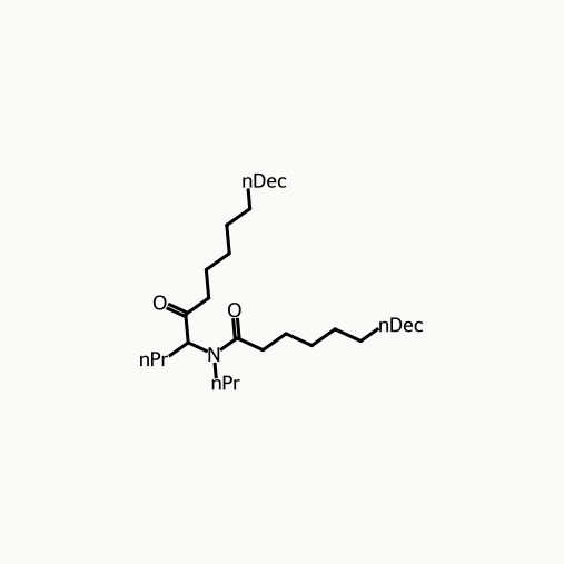 CCCCCCCCCCCCCCCC(=O)C(CCC)N(CCC)C(=O)CCCCCCCCCCCCCCC